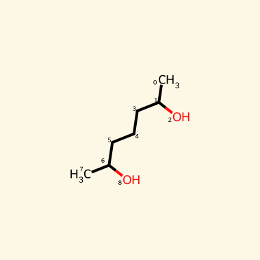 CC(O)CCCC(C)O